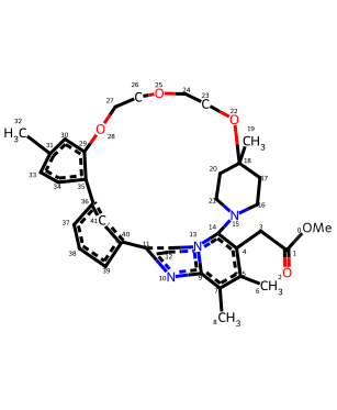 COC(=O)Cc1c(C)c(C)c2nc3cn2c1N1CCC(C)(CC1)OCCOCCOc1cc(C)ccc1-c1cccc-3c1